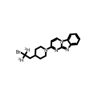 [2H]C([2H])(Br)CC1CCN(c2ccn3c(n2)nc2ccccc23)CC1